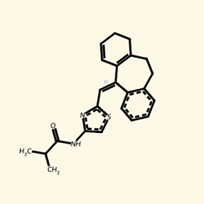 CC(C)C(=O)Nc1csc(/C=C2/C3=C(CCC=C3)CCc3ccccc32)n1